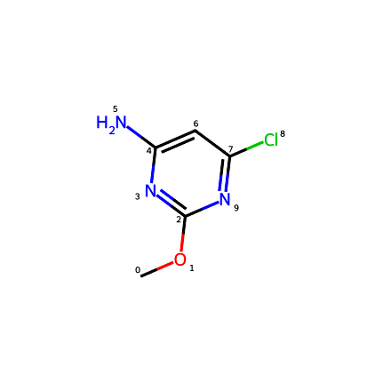 COc1nc(N)cc(Cl)n1